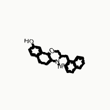 CCCN1C(Cc2cccc3ccccc23)COC2c3cc(O)ccc3CCC21